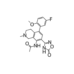 COc1ccc(F)cc1-c1cc(-c2noc(=O)[nH]2)c(NC(C)=O)c2c1CCN(C)C2